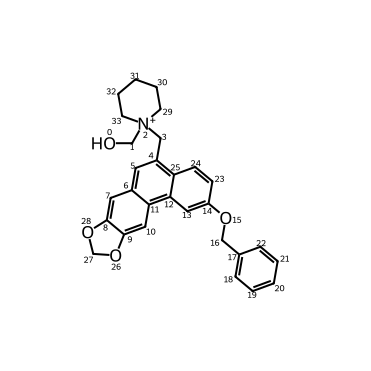 OC[N+]1(Cc2cc3cc4c(cc3c3cc(OCc5ccccc5)ccc23)OCO4)CCCCC1